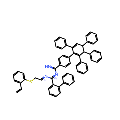 C=Cc1ccccc1SC/C=N/C(=N\C(=N)c1ccc(C2=C(c3ccccc3)C(c3ccccc3)C(c3ccccc3)C=C2c2ccccc2)cc1)c1ccccc1-c1ccccc1